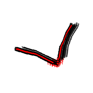 O=C(O)O.O=C(O)O.O=C(O)O.O=C(O)O.O=C(O)O.[Ba+2].[Ba+2].[Ba+2].[Ba+2].[Ba+2].[Ba+2].[Ba+2].[Ba+2].[Ba+2].[Ba+2].[Ba+2].[Ba+2].[Ba+2].[Ba+2].[Ba+2].[Ba+2].[Ba+2].[Ba+2].[Ba+2].[Ba+2].[Ba+2].[Ba+2].[Ba+2].[Ba+2].[Ba+2].[Ba+2].[Ba+2].[Ba+2].[Ba+2].[Ba+2].[Ba+2].[Ba+2].[Ba+2].[Ba+2].[Ba+2].[Ba+2].[Ba+2].[Ba+2].[Ba+2].[Ba+2].[Ba+2].[Ba+2].[Ba+2].[Ba+2].[Ba+2].[Ba+2].[Ba+2].[Ba+2].[Ba+2].[Ba+2].[Ba+2].[Ba+2].[Ba+2].[Ba+2].[Ba+2].[Ba+2].[Ba+2].[Ba+2].[Ba+2].[Ba+2].[Ba+2].[Ba+2].[Ba+2].[Ba+2].[Ba+2].[Ba+2].[Ba+2].[Ba+2].[Ba+2].[Ba+2].[Ba+2].[Ba+2].[Ba+2].[Ba+2].[Ba+2].[Ba+2].[Ba+2].[Ba+2].[Ba+2].[Ba+2].[Ba+2].[Ba+2].[Ba+2].[Ba+2].[Ba+2].[Ba+2].[Ba+2].[Ba+2].[Ba+2].[Ba+2].[Ba+2].[Ba+2].[Ba+2].[Ba+2].[Ba+2].[Ba+2].[Ba+2].[Ba+2].[Ba+2].[Ba+2].[Ba+2].[Ba+2].[Ba+2].[Ba+2].[Ba+2].[Ba+2].[Ba+2].[Ba+2].[Ba+2].[Ba+2].[Ba+2].[Ba+2].[Ba+2].[Ba+2]